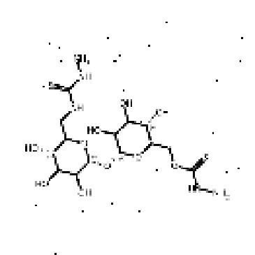 NNC(=S)NCC1O[C@H](O[C@H]2OC(COC(=S)NN)[C@@H](O)C(O)C2O)C(O)C(O)[C@@H]1O